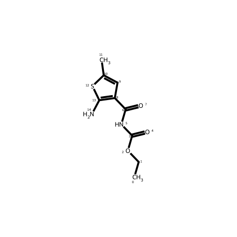 CCOC(=O)NC(=O)c1cc(C)sc1N